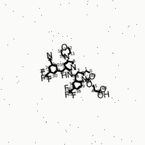 CC[C@@H]1C[C@H](Nc2ncc(N3CCOCC3)cc2Cc2cc(C#N)cc(C(F)(F)F)c2)c2cc(C(F)(F)F)ccc2N1C(=O)OCCC(=O)O